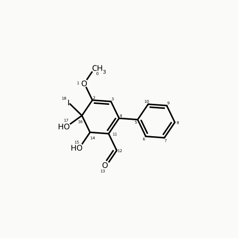 COC1=CC(c2ccccc2)=C(C=O)C(O)C1(O)I